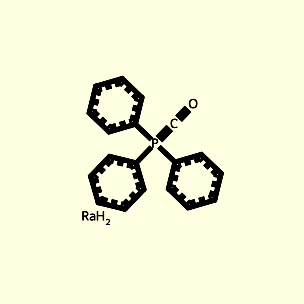 O=C=P(c1ccccc1)(c1ccccc1)c1ccccc1.[RaH2]